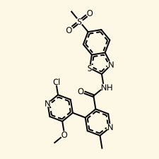 COc1cnc(Cl)cc1-c1cc(C)ncc1C(=O)Nc1nc2ccc(S(C)(=O)=O)cc2s1